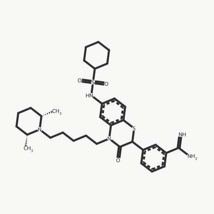 C[C@@H]1CCC[C@H](C)N1CCCCCN1C(=O)C(c2cccc(C(=N)N)c2)Sc2ccc(NS(=O)(=O)C3CCCCC3)cc21